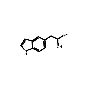 CCCC(O)Cc1ccc2[nH]ccc2c1